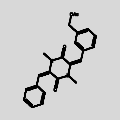 CC(=O)OCc1cccc(C=c2c(=O)n(C)c(=Cc3ccccc3)c(=O)n2C)c1